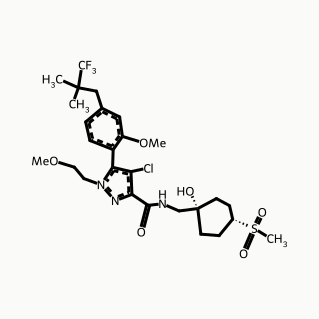 COCCn1nc(C(=O)NC[C@]2(O)CC[C@@H](S(C)(=O)=O)CC2)c(Cl)c1-c1ccc(CC(C)(C)C(F)(F)F)cc1OC